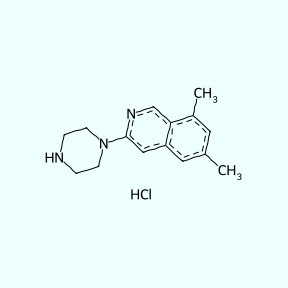 Cc1cc(C)c2cnc(N3CCNCC3)cc2c1.Cl